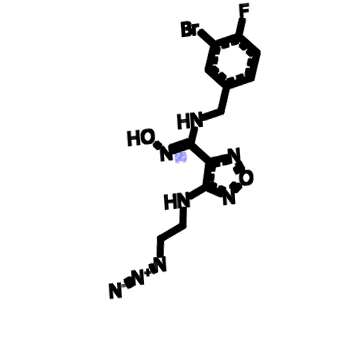 [N-]=[N+]=NCCNc1nonc1/C(=N/O)NCc1ccc(F)c(Br)c1